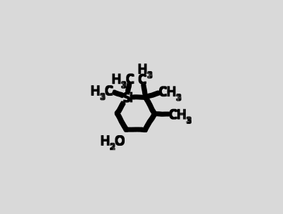 CC1CCC[Si](C)(C)C1(C)C.O